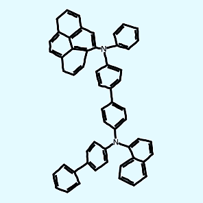 C1=Cc2cc(N(c3ccccc3)c3ccc(-c4ccc(N(c5ccc(-c6ccccc6)cc5)c5cccc6ccccc56)cc4)cc3)c3c4c(ccc(c24)C1)CC=C3